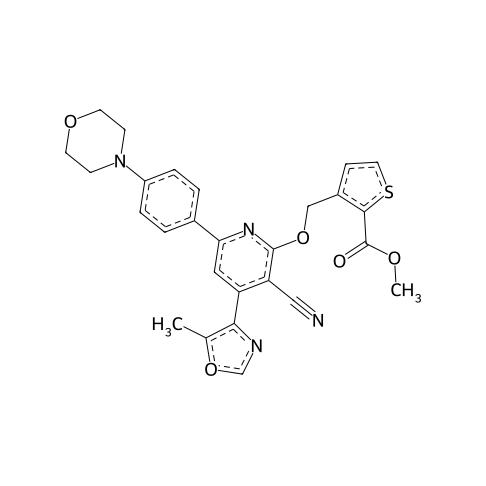 COC(=O)c1sccc1COc1nc(-c2ccc(N3CCOCC3)cc2)cc(-c2ncoc2C)c1C#N